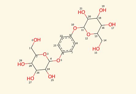 OCC1OC(Oc2ccc(OC3OC(CO)C(O)C(O)C3O)cc2)C(O)C(O)C1O